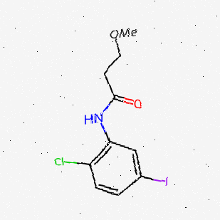 COCCC(=O)Nc1cc(I)ccc1Cl